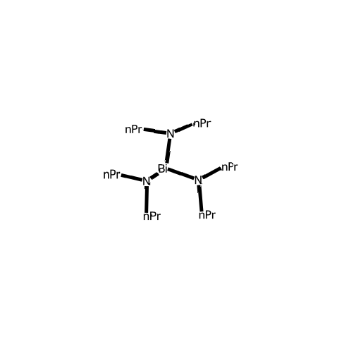 CCC[N](CCC)[Bi]([N](CCC)CCC)[N](CCC)CCC